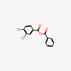 O=C(OC(=O)c1ccc(Cl)c(Cl)c1)c1ccccc1